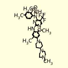 COc1cc(N2CCC(N3CCN(C)CC3)CC2)c(C)cc1Nc1ncc(C(F)(F)F)c(Nc2ccc(C)cc2P(C)(C)=O)n1